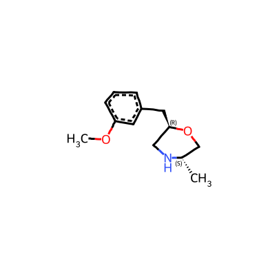 COc1cccc(C[C@@H]2CN[C@@H](C)CO2)c1